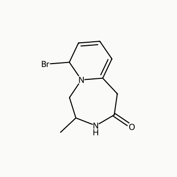 CC1CN2C(=CC=CC2Br)CC(=O)N1